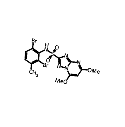 COc1cc(OC)n2nc(S(=O)(=O)Nc3c(Br)ccc(C)c3Br)nc2n1